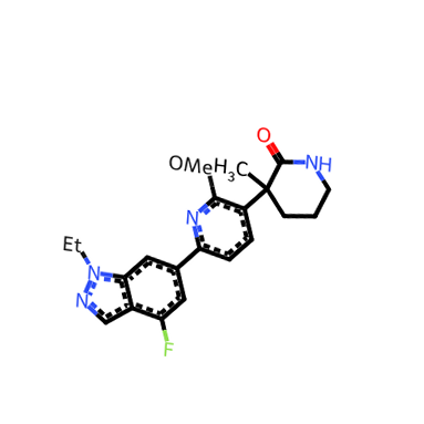 CCn1ncc2c(F)cc(-c3ccc(C4(C)CCCNC4=O)c(OC)n3)cc21